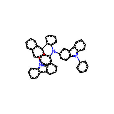 c1ccc(N(c2ccc3c(c2)c2ccccc2n3-c2ccccc2)c2ccccc2-c2cc(-n3c4ccccc4c4ccccc43)cc3ccccc23)cc1